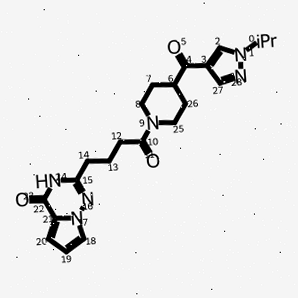 CC(C)n1cc(C(=O)C2CCN(C(=O)CCCc3nn4cccc4c(=O)[nH]3)CC2)cn1